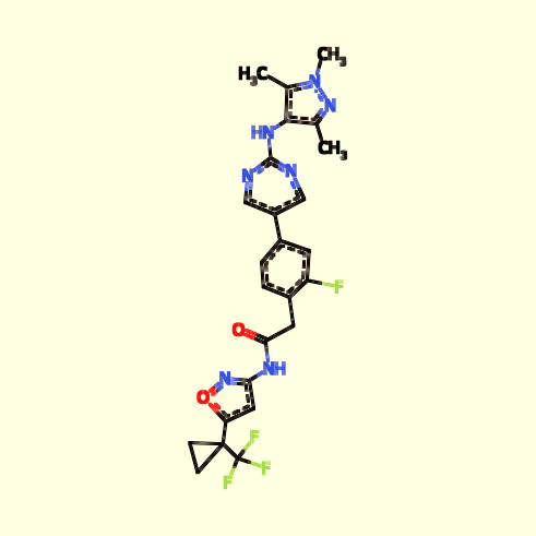 Cc1nn(C)c(C)c1Nc1ncc(-c2ccc(CC(=O)Nc3cc(C4(C(F)(F)F)CC4)on3)c(F)c2)cn1